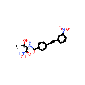 C[C@@H](O)[C@H](NC(=O)c1ccc(C#Cc2cccc([N+](=O)[O-])c2)cc1)C(=O)NO